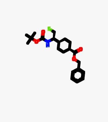 CC(C)(C)OC(=O)N[C@@H](CF)[C@H]1CC[C@@H](C(=O)OCc2ccccc2)CC1